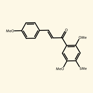 COc1ccc(/C=C/C(=O)c2cc(OC)c(SC)cc2OC)cc1